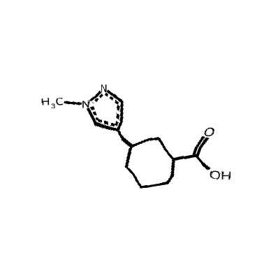 Cn1cc(C2CCCC(C(=O)O)C2)cn1